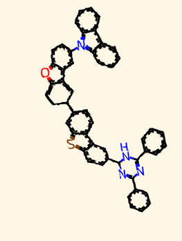 C1=c2oc3ccc(-n4c5ccccc5c5ccccc54)cc3c2=CC(c2ccc3c(c2)sc2ccc(C4N=C(c5ccccc5)N=C(c5ccccc5)N4)cc23)C1